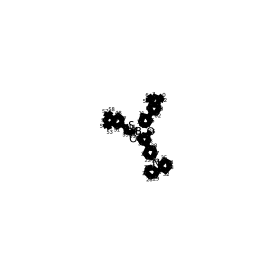 CC1(C)CC(C)(C)c2cc(-c3ccc4c(c3)Oc3cc(-c5ccc(-n6c7ccccc7c7ccccc76)cc5)cc5c3B4c3sc(-c4ccc6c(c4)C(C)(C)CC6(C)C)cc3O5)ccc21